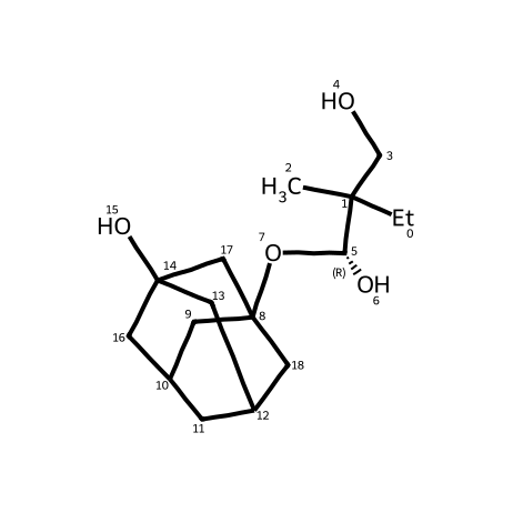 CCC(C)(CO)[C@H](O)OC12CC3CC(CC(O)(C3)C1)C2